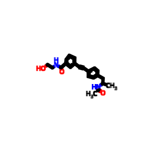 CC(=O)NC(C)Cc1ccc(C#Cc2cccc(C(=O)NCCO)c2)cc1